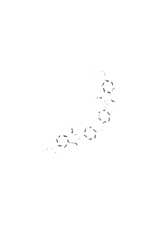 Nc1ccc2c(c1)C(=O)N(c1ccc(Cc3ccc(N4C(=O)c5ccc(N)cc5C4=O)cc3)cc1)C2=O